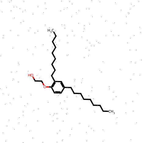 CCCCCCCCCc1ccc(OCCO)c(CCCCCCCCC)c1